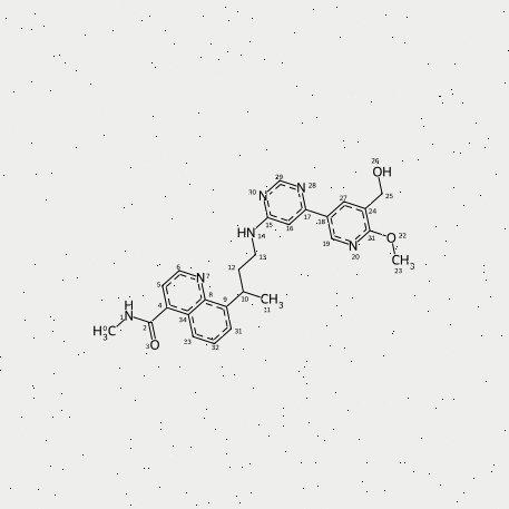 CNC(=O)c1ccnc2c(C(C)CCNc3cc(-c4cnc(OC)c(CO)c4)ncn3)cccc12